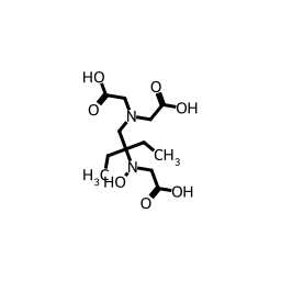 CCC(CC)(CN(CC(=O)O)CC(=O)O)N(O)CC(=O)O